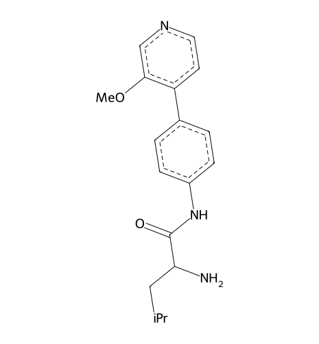 COc1cnccc1-c1ccc(NC(=O)C(N)CC(C)C)cc1